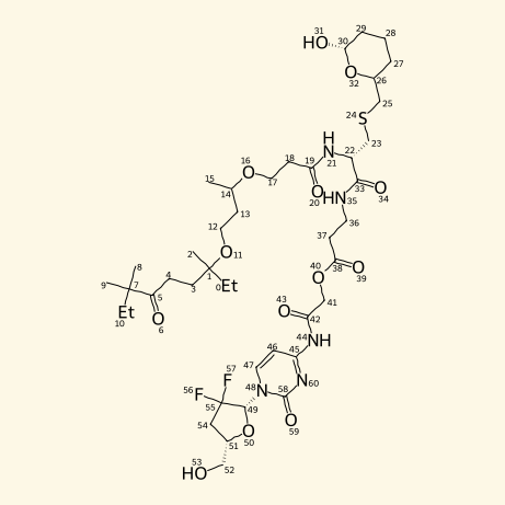 CCC(C)(CCC(=O)C(C)(C)CC)OCCC(C)OCCC(=O)N[C@H](CSCC1CCC[C@@H](O)O1)C(=O)NCCC(=O)OCC(=O)Nc1ccn([C@@H]2O[C@H](CO)CC2(F)F)c(=O)n1